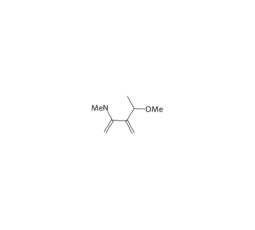 C=C(NC)C(=C)C(C)OC